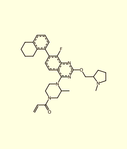 C=CC(=O)N1CCN(c2nc(OCC3CCCN3C)nc3c(F)c(-c4cccc5c4CCCC5)ccc23)C(C)C1